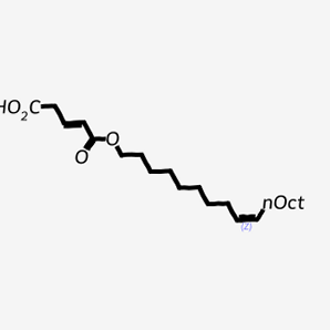 CCCCCCCC/C=C\CCCCCCCCOC(=O)C=CCC(=O)O